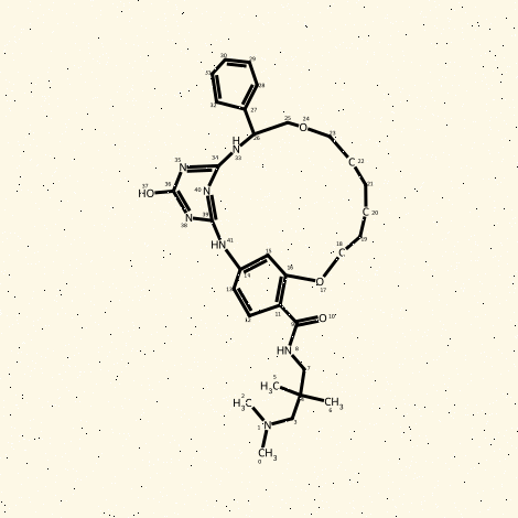 CN(C)CC(C)(C)CNC(=O)c1ccc2cc1OCCCCCCOCC(c1ccccc1)Nc1nc(O)nc(n1)N2